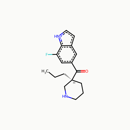 CCC[C@]1(C(=O)c2cc(F)c3[nH]ccc3c2)CCCNC1